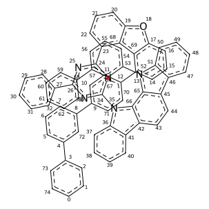 c1ccc(-c2cccc(-c3ccc(-c4cccc5oc6cccc(-c7nc(-c8ccccc8)nc(-n8c9ccccc9c9ccc%10c%11ccccc%11n(-c%11cccc(-c%12ccccc%12)c%11)c%10c98)n7)c6c45)cc3)c2)cc1